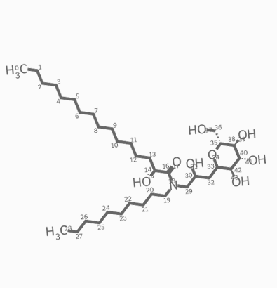 CCCCCCCCCCCCCCC(O)C(=O)N(CCCCCCCCCC)CC(O)CC1O[C@H](CO)[C@@H](O)[C@H](O)[C@H]1O